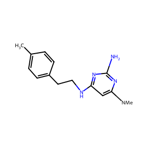 CNc1cc(NCCc2ccc(C)cc2)nc(N)n1